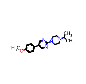 COc1ccc(-c2cnc(N3CCN(C(C)C)CC3)nc2)cc1